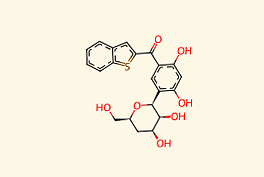 O=C(c1cc2ccccc2s1)c1cc([C@@H]2O[C@H](CO)C[C@H](O)[C@@H]2O)c(O)cc1O